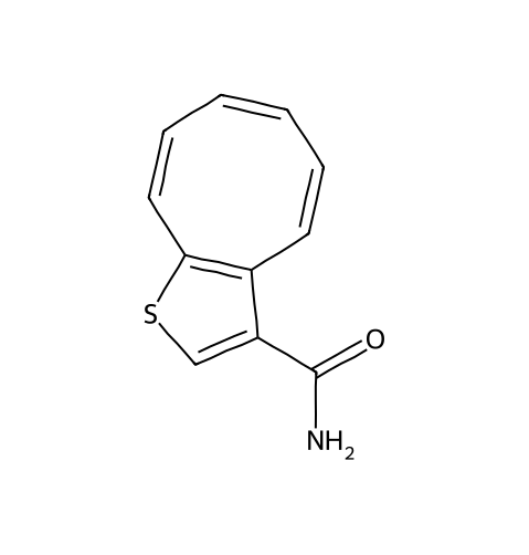 NC(=O)c1csc2c1\C=C/C=C\C=C/2